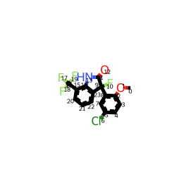 COc1ccc(Cl)cc1C1(F)C(=O)Nc2c(C(F)(F)F)cccc21